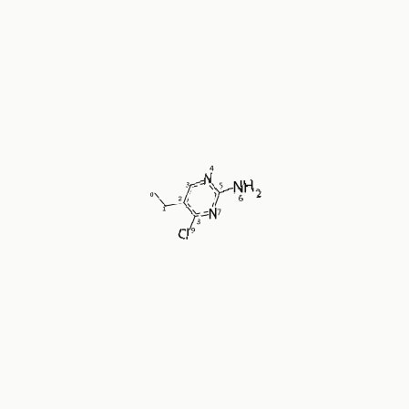 CCc1cnc(N)nc1Cl